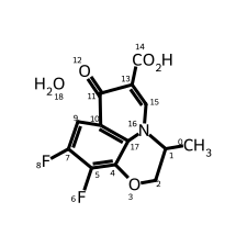 CC1COc2c(F)c(F)cc3c(=O)c(C(=O)O)cn1c23.O